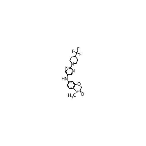 CN1C(=O)COc2cc(Nc3cnc(N4CCC(C(F)(F)F)CC4)nc3)ccc21